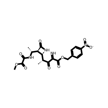 COC(=O)C(=O)N[C@H](C)[C@H]1C(=O)N[C@@H]1[C@@H](C)C(=O)C(=N)C(=O)OCc1ccc([N+](=O)[O-])cc1